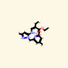 CCOC(=O)/C(=C\Nc1cc(C)nn1Cc1cc(C)cc(C)n1)CC